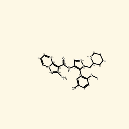 COc1ccc(Cl)cc1-c1c(NC(=O)c2c(N)nn3cccnc23)cnn1CC1CCCCO1